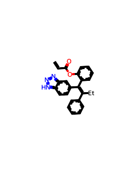 C=CC(=O)Oc1ccccc1/C(=C(\CC)c1ccccc1)c1ccc2[nH]nnc2c1